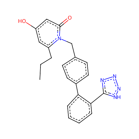 CCCc1cc(O)cc(=O)n1Cc1ccc(-c2ccccc2-c2nnn[nH]2)cc1